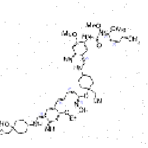 C=C/C=C\C(OC)=[N+](\OC)C(=O)NC1=C/C(=C/NC2CCC(CC#N)(OC(/C=C\C=C\C3=CC(=C/NC4CCC(O)(CC#N)CC4)/C(=N)C=C3OCC)=N\O)CC2)C(=N)C=C1OC